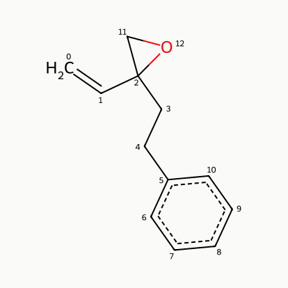 C=CC1(CCc2ccccc2)CO1